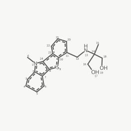 Cn1c2ccccc2c2sc3c(CNC(C)(CO)CO)cccc3c21